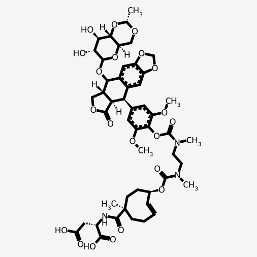 COc1cc([C@@H]2c3cc4c(cc3C(OC3O[C@@H]5CO[C@@H](C)O[C@H]5[C@H](O)[C@H]3O)[C@H]3COC(=O)[C@H]23)OCO4)cc(OC)c1OC(=O)N(C)CCN(C)C(=O)O[C@H]1/C=C/CC[C@@](C)(C(=O)N[C@@H](CC(=O)O)C(=O)O)CC1